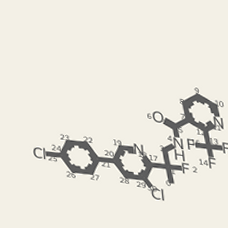 CC(F)(CNC(=O)c1cccnc1C(F)(F)F)c1ncc(-c2ccc(Cl)cc2)cc1Cl